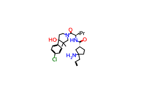 C=CCC1(N)CC[C@@H](C(=O)N[C@@H](C(=O)N2CC[C@](O)(c3ccc(Cl)cc3)C(C)(C)C2)C(C)C)C1